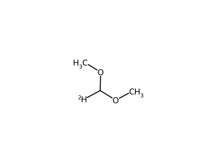 [2H]C(OC)OC